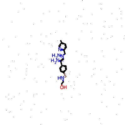 Cc1ccc(CN(N)/C=C(\N)c2ccc(SNCCO)cc2)nc1